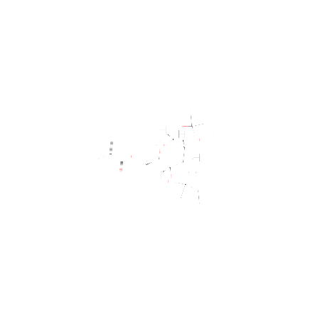 C=C(C)C(=O)OC[C@H]1O[C@@H]2OC(CC)(CC)O[C@@H]2[C@H]2OC(CC)(CC)O[C@@H]21